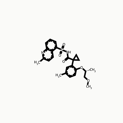 COC[C@@H](C)Oc1ccc(C)cc1C1(C(=O)NS(=O)(=O)c2cccc3nc(C)ccc23)CC1